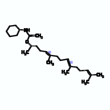 C=C(NC1CCCCC1)OC(C)CC/C=C(\C)CC/C=C(\C)CCC=C(C)C